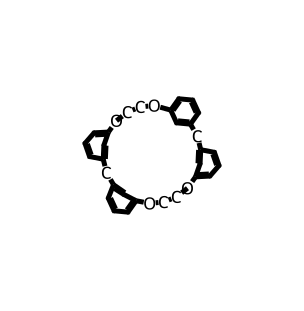 c1cc2cc(c1)OCCOc1cccc(c1)Cc1cccc(c1)OCCOc1cccc(c1)C2